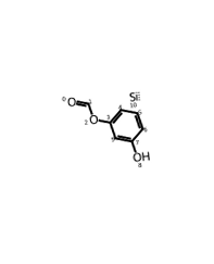 O=COc1cccc(O)c1.[Si]